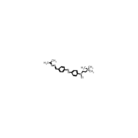 CCN(CC[N+](C)(C)C)c1ccc(/N=N/c2ccc(/C=N/N=C(C)C)cc2)cc1